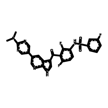 CN(C)c1ncc(-c2cnc3[nH]cc(C(=O)c4c(F)ccc(NS(=O)(=O)c5cccc(F)c5)c4F)c3c2)cn1